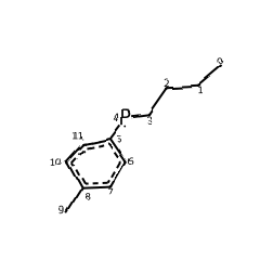 CCCC[P]c1ccc(C)cc1